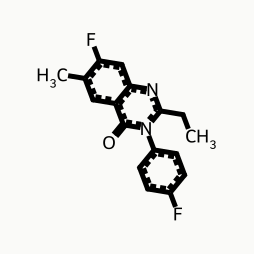 CCc1nc2cc(F)c(C)cc2c(=O)n1-c1ccc(F)cc1